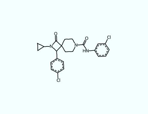 O=C(Nc1cccc(Cl)c1)N1CCC2(CC1)C(=O)N(C1CC1)C2c1ccc(Cl)cc1